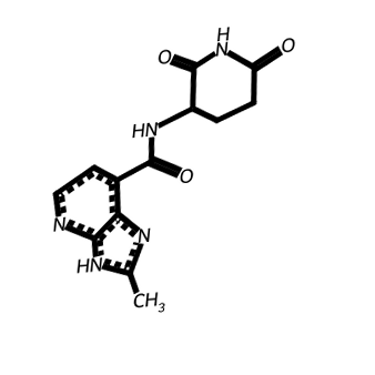 Cc1nc2c(C(=O)NC3CCC(=O)NC3=O)ccnc2[nH]1